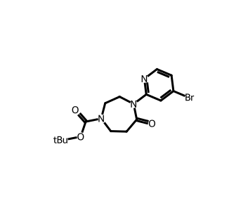 CC(C)(C)OC(=O)N1CCC(=O)N(c2cc(Br)ccn2)CC1